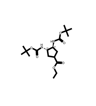 CCOC(=O)C1C[C@H](NC(=O)OC(C)(C)C)[C@@H](NC(=O)OC(C)(C)C)C1